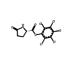 O=C1CC[C@@H](C(=O)Oc2c(Cl)c(Cl)c(Cl)c(Cl)c2Cl)N1